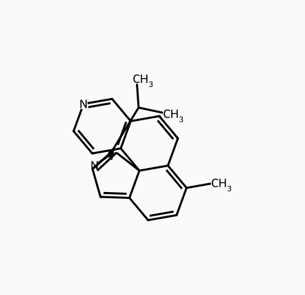 CC1=C2C=Cc3cnccc3C23C(=Cc2cncc(C(C)C)c23)C=C1